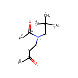 CC(=O)OC(C)(C)CN(CCC(=O)C(C)C)C(=O)C(C)C